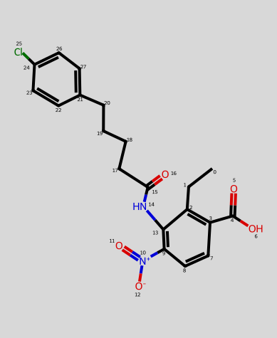 CCc1c(C(=O)O)ccc([N+](=O)[O-])c1NC(=O)CCCCc1ccc(Cl)cc1